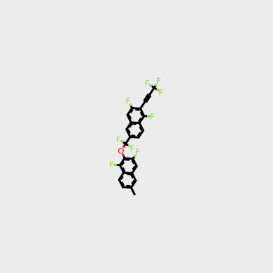 Cc1ccc2c(F)c(OC(F)(F)c3ccc4c(F)c(C#CC(F)(F)F)c(F)cc4c3)c(F)cc2c1